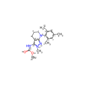 Cc1cc(C)c(N2CCCc3c2nn(C)c3NC(=O)OC(C)(C)C)c(C)c1